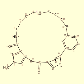 Cn1cc2c(n1)C(=O)NCCC/C=C/CCCNc1cc(ccn1)-c1nc(co1)C(=O)N2